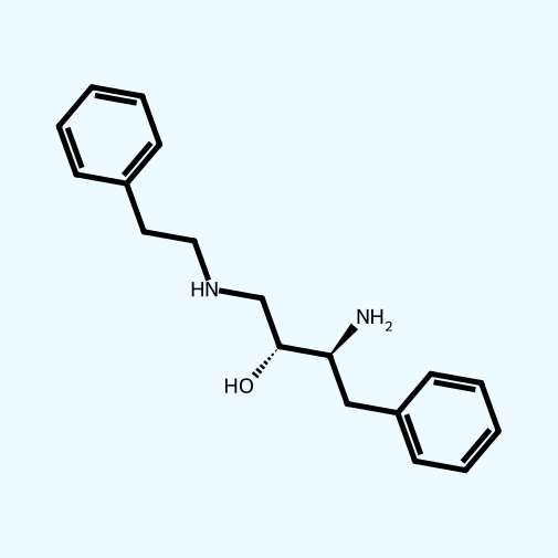 N[C@@H](Cc1ccccc1)[C@H](O)CNCCc1ccccc1